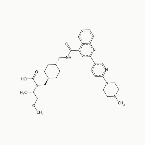 COC[C@H](C)N(C[C@H]1CC[C@H](CNC(=O)c2cc(-c3ccc(N4CCN(C)CC4)nc3)nc3ccccc23)CC1)C(=O)O